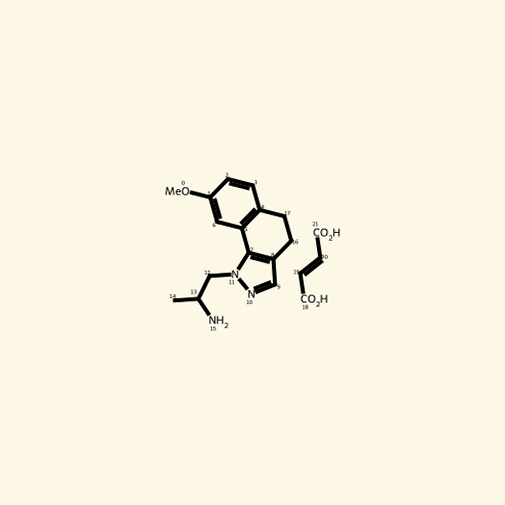 COc1ccc2c(c1)-c1c(cnn1CC(C)N)CC2.O=C(O)C=CC(=O)O